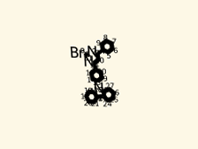 Brc1nc(-c2ccccc2)cc(-c2ccc(-n3c4ccccc4c4ccccc43)cc2)n1